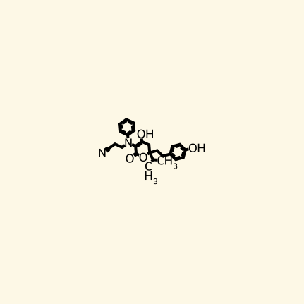 CC(C)C1(CCc2ccc(O)cc2)CC(O)=C(N(CCC#N)c2ccccc2)C(=O)O1